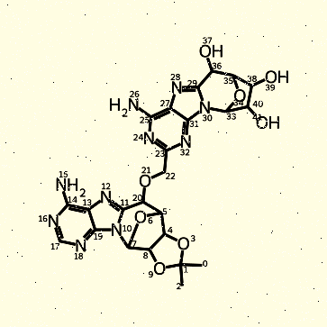 CC1(C)OC2C3OC(C2O1)n1c(nc2c(N)ncnc21)C3OCc1nc(N)c2nc3n(c2n1)C1OC(C3O)C(O)C1O